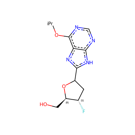 CC(C)Oc1ncnc2[nH]c(C3C[C@H](F)[C@@H](CO)O3)nc12